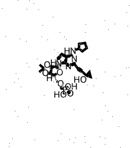 CC1(C)O[C@@H]2[C@H](O1)[C@@H](COCP(=O)(O)O)O[C@H]2n1ccc2c(NC3CCCC3)nc(C#CC3(O)CC3)nc21